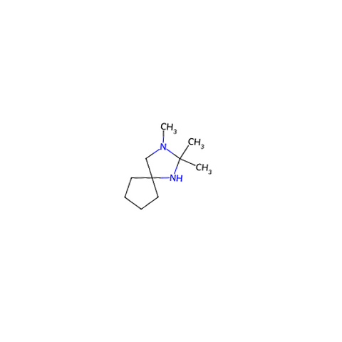 CN1CC2(CCCC2)NC1(C)C